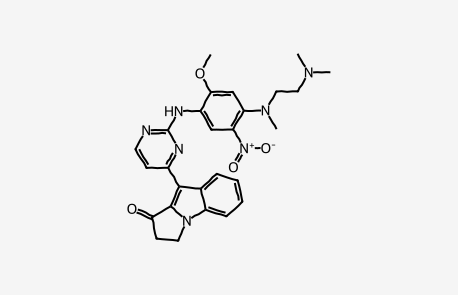 COc1cc(N(C)CCN(C)C)c([N+](=O)[O-])cc1Nc1nccc(-c2c3n(c4ccccc24)CCC3=O)n1